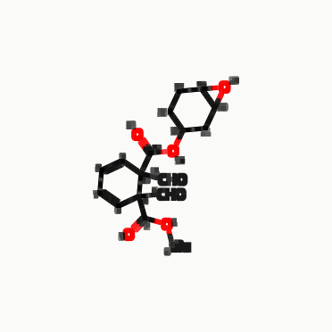 CC(C)(C)OC(=O)C1(C=O)C=CC=CC1(C=O)C(=O)OC1CCC2OC2C1